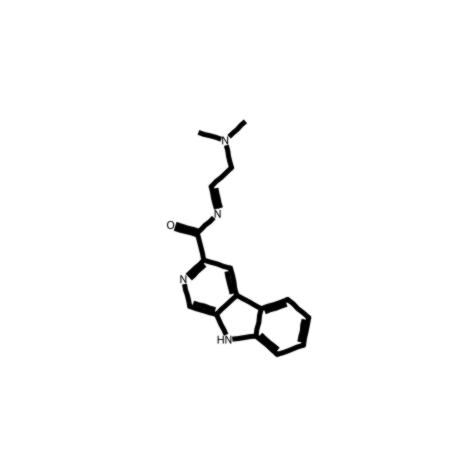 CN(C)CC=NC(=O)c1cc2c(cn1)[nH]c1ccccc12